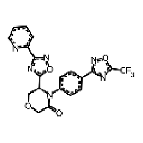 O=C1COCC(c2nc(-c3ccccn3)no2)N1c1ccc(-c2noc(C(F)(F)F)n2)cc1